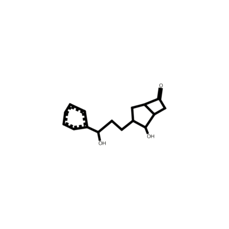 O=C1CC2C1CC(CCC(O)c1ccccc1)C2O